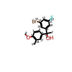 COc1ccc(C(C)(O)c2cc(F)cc(Br)c2)cc1C